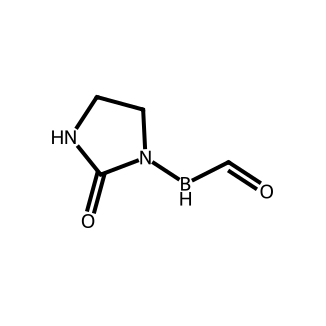 O=CBN1CCNC1=O